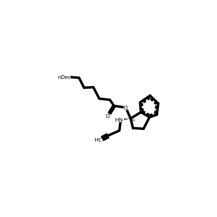 C#CCN[C@@]1(OC(=O)CCCCCCCCCCCCCCC)CCc2ccccc21